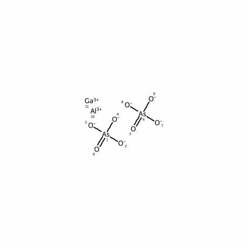 O=[As]([O-])([O-])[O-].O=[As]([O-])([O-])[O-].[Al+3].[Ga+3]